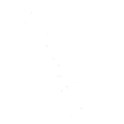 O=C(NCCc1ccc(Cl)cc1)c1ccc(N2CCN(C(=O)c3ccccc3C(F)(F)F)CC2)nn1